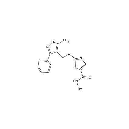 Cc1onc(-c2ccccc2)c1CCc1ncc(C(=O)NC(C)C)s1